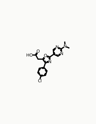 CN(C)c1ncc(-c2nc(-c3ccc(Cl)cc3)c(CC(=O)O)o2)cn1